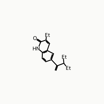 C=C(c1ccc2[nH]c(=O)c(CC)cc2c1)C(CC)CC